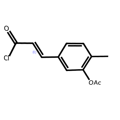 CC(=O)Oc1cc(/C=C/C(=O)Cl)ccc1C